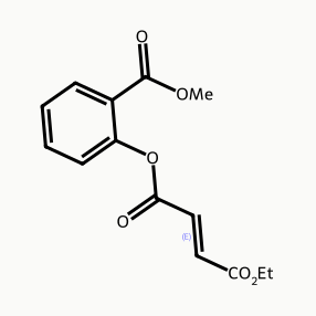 CCOC(=O)/C=C/C(=O)Oc1ccccc1C(=O)OC